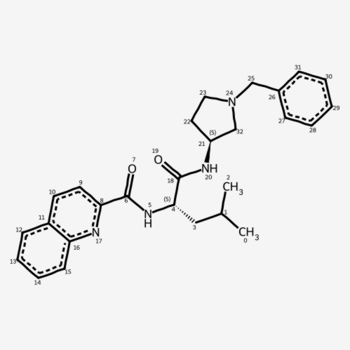 CC(C)C[C@H](NC(=O)c1ccc2ccccc2n1)C(=O)N[C@H]1CCN(Cc2ccccc2)C1